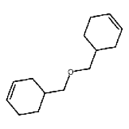 C1=CCC(COCC2CC=CCC2)CC1